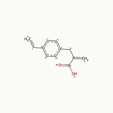 C=Cc1ccc(CC(=C)C(=O)O)cc1